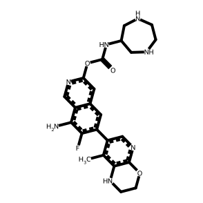 Cc1c(-c2cc3cc(OC(=O)NC4CNCCNC4)ncc3c(N)c2F)cnc2c1NCCO2